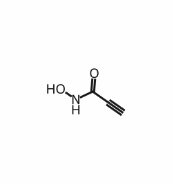 C#CC(=O)NO